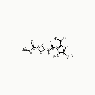 CC(C)n1c(C=O)nc(C(F)F)c1C(=O)NC1CN(C(=O)OC(C)(C)C)C1